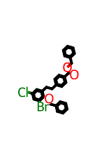 O=C(OCc1ccccc1)c1ccc(CCc2cc(Cl)cc(Br)c2OCc2ccccc2)cc1